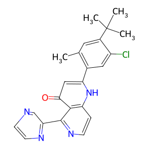 Cc1cc(C(C)(C)C)c(Cl)cc1-c1cc(=O)c2c(-c3cnccn3)nccc2[nH]1